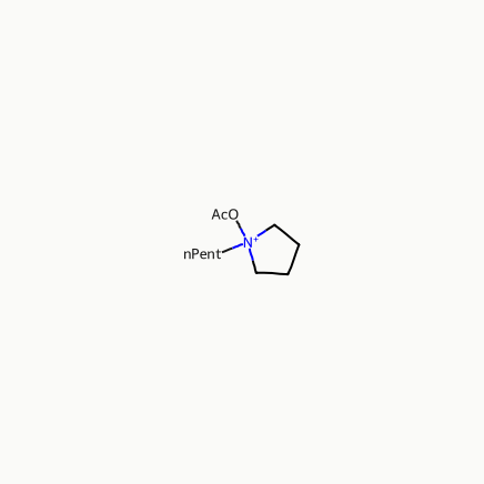 CCCCC[N+]1(OC(C)=O)CCCC1